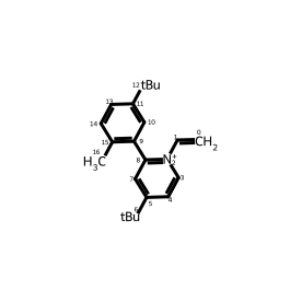 C=C[n+]1ccc(C(C)(C)C)cc1-c1cc(C(C)(C)C)ccc1C